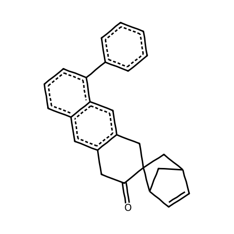 O=C1Cc2cc3cccc(-c4ccccc4)c3cc2CC12CC1C=CC2C1